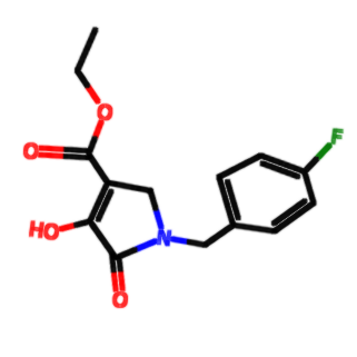 CCOC(=O)C1=C(O)C(=O)N(Cc2ccc(F)cc2)C1